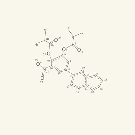 CC(C)C(=O)Oc1cc(-c2cnc3ccccc3n2)cc([N+](=O)[O-])c1OC(=O)C(C)C